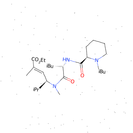 CCOC(=O)/C(C)=C/[C@H](C(C)C)N(C)C(=O)[C@@H](NC(=O)[C@H]1CCCCN1C(C)CC)[C@@H](C)CC